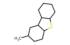 CC1CCC2SC3CCCCC3C2C1